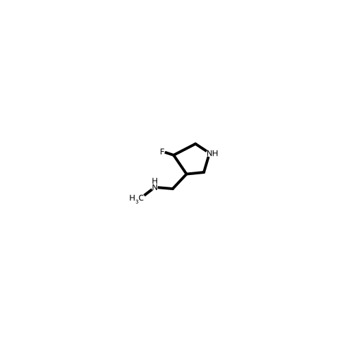 CNCC1CNCC1F